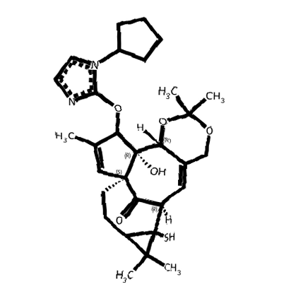 CC1=C[C@@]23CCC4C(C)(C)C4(S)[C@H](C=C4COC(C)(C)O[C@H]4[C@]2(O)C1Oc1nccn1C1CCCC1)C3=O